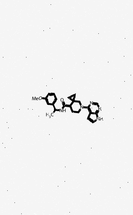 COc1cccc(C(C)NC(=O)C2CCN(c3ncnc4[nH]ccc34)CC23CC3)c1